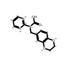 O=C(O)N(Cc1ccc2c(c1)OCCO2)c1ncccn1